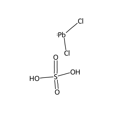 O=S(=O)(O)O.[Cl][Pb][Cl]